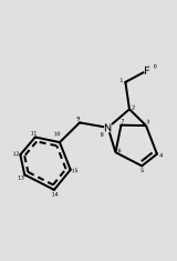 FCC1C2C=CC(C2)N1Cc1ccccc1